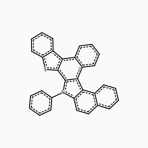 c1ccc(-n2c3ccc4ccccc4c3c3c4ccccc4c4c5ccccc5sc4c32)cc1